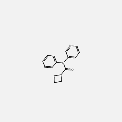 O=C(C1CCC1)N(c1cccnc1)c1cccnc1